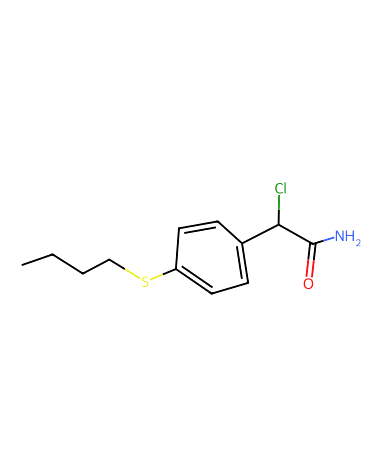 CCCCSc1ccc(C(Cl)C(N)=O)cc1